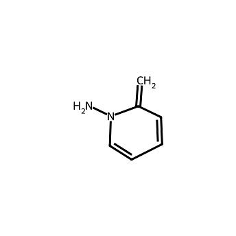 C=C1C=CC=CN1N